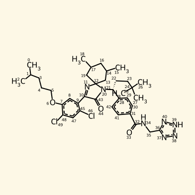 CC(C)CCCOc1cc(C2=NC3(CC(C)CC(C)C3)N([C@H](CCC(C)(C)C)c3ccc(C(=O)NCc4nn[nH]n4)cc3)C2=O)c(Cl)cc1Cl